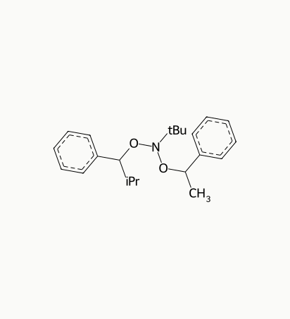 CC(ON(OC(c1ccccc1)C(C)C)C(C)(C)C)c1ccccc1